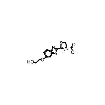 O=C(O)[C@H]1CSC(c2nc3ccc(OCCO)cc3s2)=N1